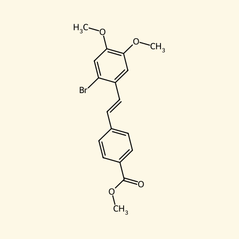 COC(=O)c1ccc(/C=C/c2cc(OC)c(OC)cc2Br)cc1